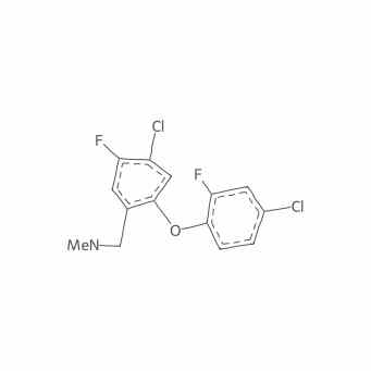 CNCc1cc(F)c(Cl)cc1Oc1ccc(Cl)cc1F